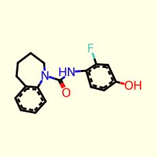 O=C(Nc1ccc(O)cc1F)N1CCCCc2ccccc21